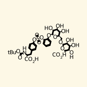 CC(C)(C)OC(=O)N[C@H](Cc1ccc(OS(=O)(=O)Oc2ccccc2O[C@@H]2O[C@H](CO[C@@H]3O[C@H](C(=O)O)[C@@H](O)[C@H](O)[C@H]3O)[C@H](O)[C@H](O)[C@H]2O)cc1)C(=O)O